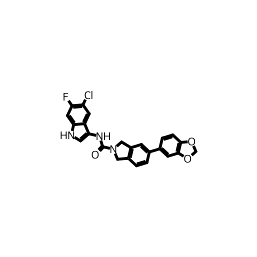 O=C(Nc1c[nH]c2cc(F)c(Cl)cc12)N1Cc2ccc(-c3ccc4c(c3)OCO4)cc2C1